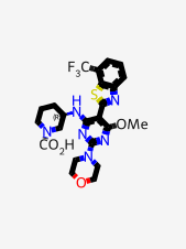 COc1nc(N2CCOCC2)nc(N[C@@H]2CCCN(C(=O)O)C2)c1-c1nc2cccc(C(F)(F)F)c2s1